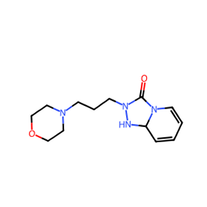 O=C1N(CCCN2CCOCC2)NC2C=CC=CN12